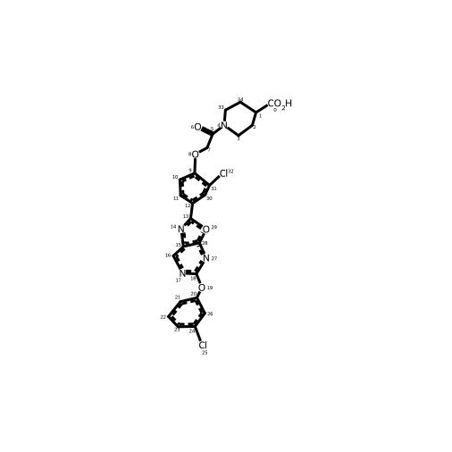 O=C(O)C1CCN(C(=O)COc2ccc(-c3nc4cnc(Oc5cccc(Cl)c5)nc4o3)cc2Cl)CC1